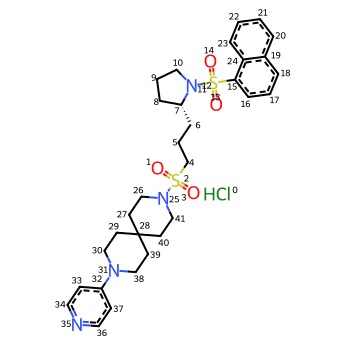 Cl.O=S(=O)(CCC[C@@H]1CCCN1S(=O)(=O)c1cccc2ccccc12)N1CCC2(CCN(c3ccncc3)CC2)CC1